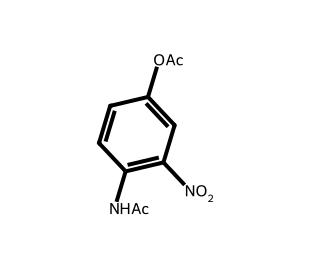 CC(=O)Nc1ccc(OC(C)=O)cc1[N+](=O)[O-]